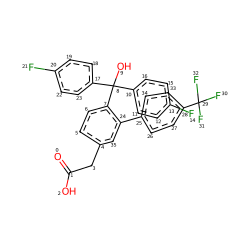 O=C(O)Cc1ccc(C(O)(c2ccc(F)cc2)c2ccc(F)cc2)c(-c2ccc(C(F)(F)F)cc2)c1